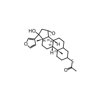 CC(=O)SC1CC[C@@]2(C)C(CC[C@@H]3[C@H]2CC[C@]2(C)C(O)(c4ccoc4)CC4O[C@]432)C1